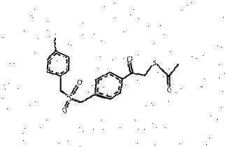 CC(=O)SCC(=O)c1ccc(CS(=O)(=O)Cc2ccc(C)cc2)cc1